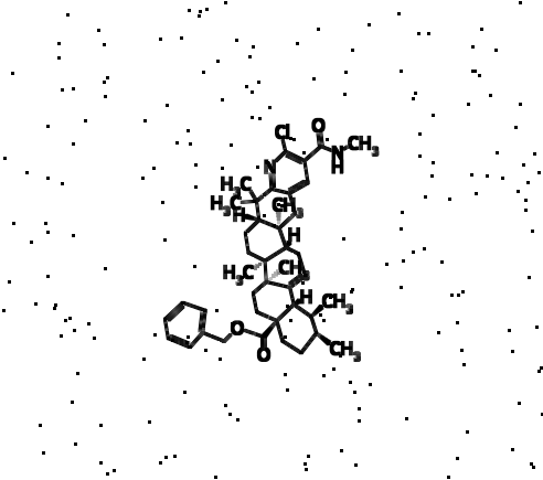 CNC(=O)c1cc2c(nc1Cl)C(C)(C)[C@H]1CC[C@@]3(C)[C@@H](CC=C4[C@@H]5[C@@H](C)[C@@H](C)CC[C@]5(C(=O)OCc5ccccc5)CC[C@]43C)[C@]1(C)C2